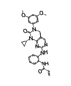 C=CC(=O)Nc1ccccc1Nc1ncc2c(n1)N(C1CC1)C(=O)N(c1cc(OC)cc(OC)c1)C2